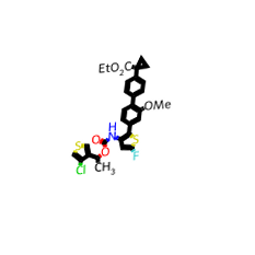 CCOC(=O)C1(c2ccc(-c3ccc(-c4sc(F)cc4NC(=O)OC(C)c4cscc4Cl)cc3OC)cc2)CC1